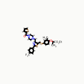 CCOC(=O)C(C)Oc1ccc(SCc2sc(-c3ccc(C(F)(F)F)cc3)nc2CN2CCN(C(=O)c3cccs3)CC2)cc1C